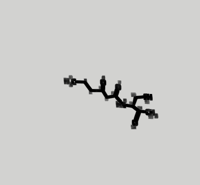 CCCC(=O)CC(=O)N[C@@H](CS)C(C)=O